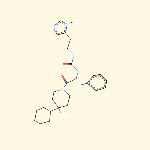 Cn1cncc1CCNC(=O)N[C@H](Cc1ccccc1)C(=O)N1CCC(C(=O)O)(C2CCCCC2)CC1